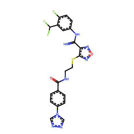 N=C(Nc1ccc(F)c(C(F)F)c1)c1nonc1SCCNC(=O)c1ccc(-n2cnnc2)cc1